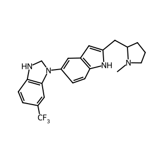 CN1CCCC1Cc1cc2cc(N3CNc4ccc(C(F)(F)F)cc43)ccc2[nH]1